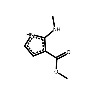 CNc1[nH]ccc1C(=O)OC